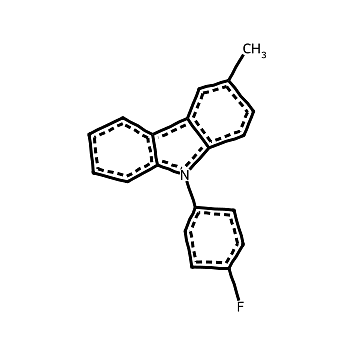 Cc1ccc2c(c1)c1ccccc1n2-c1ccc(F)cc1